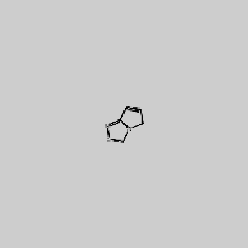 C1=CC2=NSCN2C1